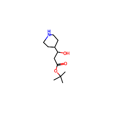 CC(C)(C)OC(=O)CC(O)C1CCNCC1